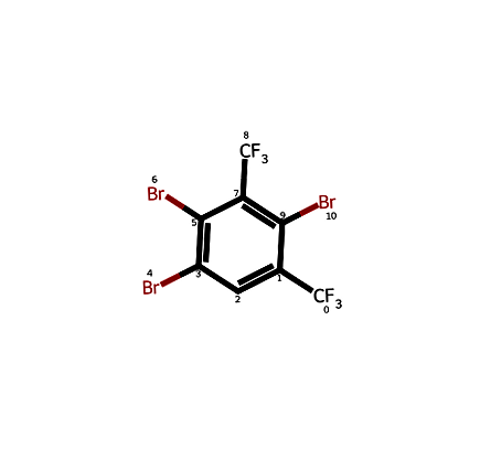 FC(F)(F)c1cc(Br)c(Br)c(C(F)(F)F)c1Br